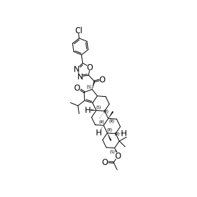 CC(=O)O[C@H]1CC[C@]2(C)[C@H]3CC[C@@H]4C5=C(C(C)C)C(=O)[C@@H](C(=O)c6nnc(-c7ccc(Cl)cc7)o6)C5CC[C@@]4(C)[C@]3(C)CC[C@H]2C1(C)C